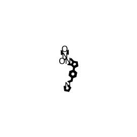 O=C(N1CCOCC1)N1CC2CC=C(c3ccc(CCN4CCCC4)cc3)C2C1